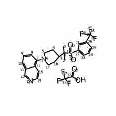 CC(C)(C1CCN(c2cccc3cnccc23)CC1)S(=O)(=O)c1cccc(C(F)(F)F)c1.O=C(O)C(F)(F)F